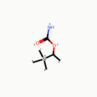 CC(OC([NH])=O)[Si](C)(C)C